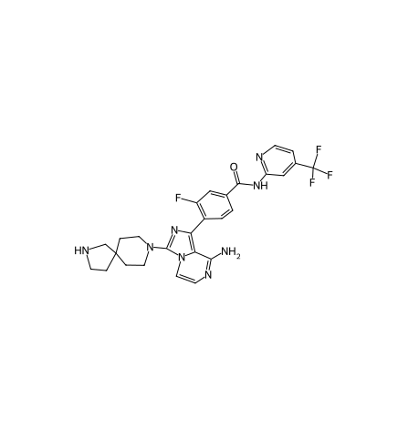 Nc1nccn2c(N3CCC4(CCNC4)CC3)nc(-c3ccc(C(=O)Nc4cc(C(F)(F)F)ccn4)cc3F)c12